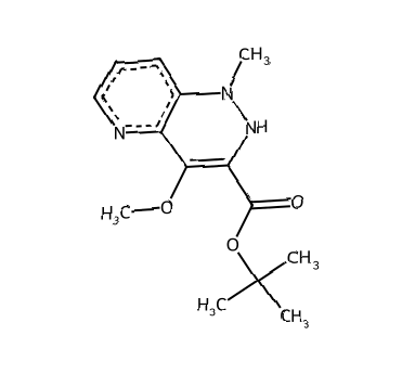 COC1=C(C(=O)OC(C)(C)C)NN(C)c2cccnc21